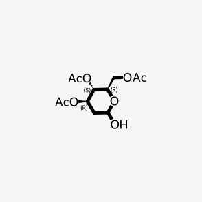 CC(=O)OC[C@H]1OC(O)C[C@@H](OC(C)=O)[C@@H]1OC(C)=O